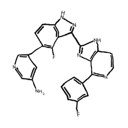 Nc1cncc(-c2ccc3[nH]nc(-c4nc5c(-c6cccc(F)c6)nccc5[nH]4)c3c2F)c1